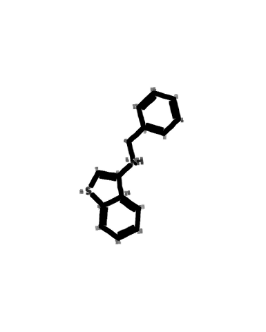 c1ccc(CNc2csc3ccccc23)cc1